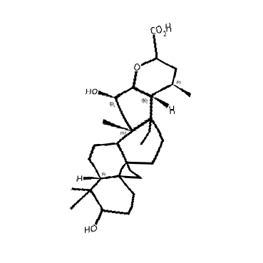 C[C@@H]1CC(C(=O)O)OC2[C@H]1C1(C)CCC34CC35CCC(O)C(C)(C)[C@@H]5CCC4[C@]1(C)[C@H]2O